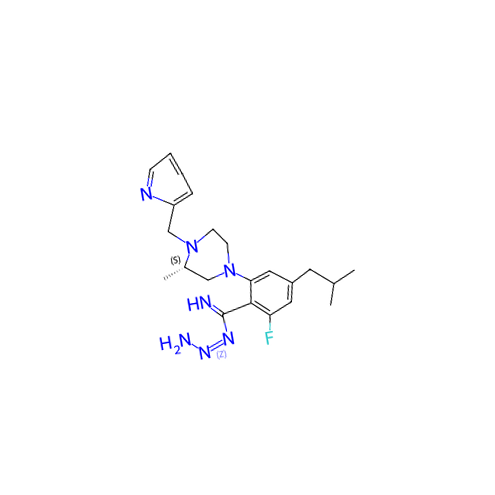 CC(C)Cc1cc(F)c(C(=N)/N=N\N)c(N2CCN(Cc3ccccn3)[C@@H](C)C2)c1